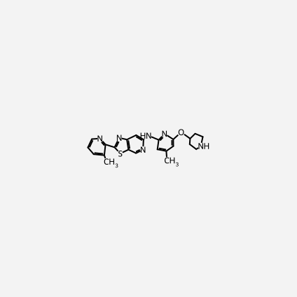 Cc1cc(Nc2cc3nc(-c4ncccc4C)sc3cn2)nc(OC2CCNCC2)c1